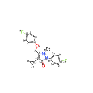 CCn1c(COc2ccc(F)cc2)c(C2CC2)c(=O)n1-c1ccc(F)cc1